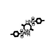 C=C1CC(NS(=O)(=O)c2ccc(C)cc2)CC(=C)NN(NS(=O)(=O)c2ccc(C)cc2)C1